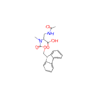 CC(=O)NCC(C(=O)O)N(C)C(=O)OCC1c2ccccc2-c2ccccc21